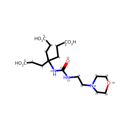 O=C(O)CCC(CCC(=O)O)(CCC(=O)O)NC(=O)NCCN1CCOCC1